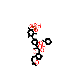 Cc1cc(C)c(S(=O)(=O)O)c(C)c1-c1ccc(C2(O)COc3c(ccc4c3C=CC(C)(C)O4)C2=O)c(OCc2ccccc2)c1